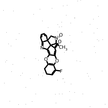 CC1[N+](=O)CC23C=CC=CC2=NC2=C4OC5=C(OC4=CC(=O)C213)C(F)=CCC5